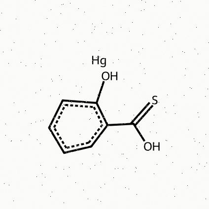 OC(=S)c1ccccc1O.[Hg]